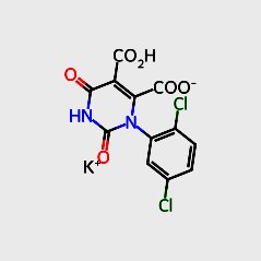 O=C(O)c1c(C(=O)[O-])n(-c2cc(Cl)ccc2Cl)c(=O)[nH]c1=O.[K+]